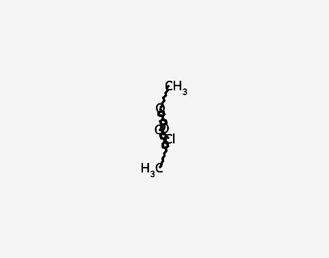 CCCCCCCCCOc1ccc(-c2ccc(OC(=O)c3ccc(-c4ccc(CCCCCCCC)cc4)c(Cl)c3)cc2)cc1